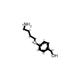 NCCCCOc1ccc(CO)cc1